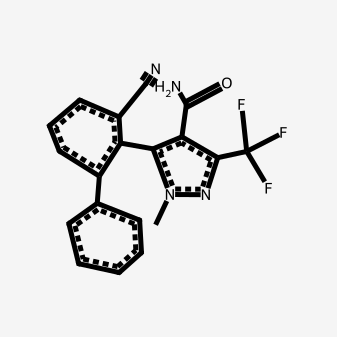 Cn1nc(C(F)(F)F)c(C(N)=O)c1-c1c(C#N)cccc1-c1ccccc1